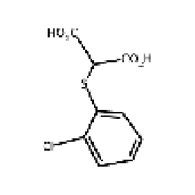 O=C(O)C(Sc1ccccc1Cl)C(=O)O